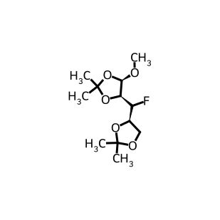 CO[C@@H]1OC(C)(C)O[C@@H]1C(F)[C@H]1COC(C)(C)O1